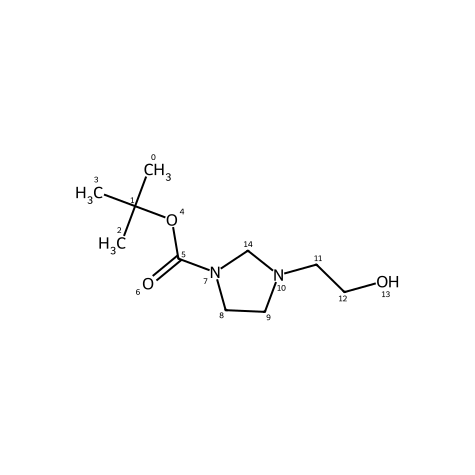 CC(C)(C)OC(=O)N1CCN(CCO)C1